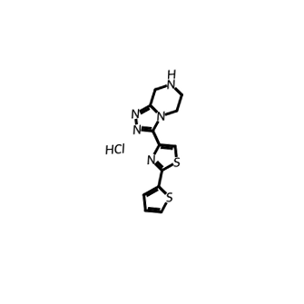 Cl.c1csc(-c2nc(-c3nnc4n3CCNC4)cs2)c1